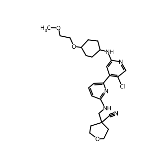 COCCOC1CCC(Nc2cc(-c3cccc(NCC4(C#N)CCOCC4)n3)c(Cl)cn2)CC1